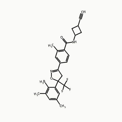 Bc1c(C)cc(C)cc1C1(C(F)(F)F)CC(c2ccc(C(=O)NC3CC(C#C)C3)c(C)c2)=NO1